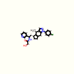 C[C@@H]1C2=C(CC[C@@H]2CC(NC(=O)CO)c2cccnc2)Cc2c1cnn2-c1ccc(F)cc1